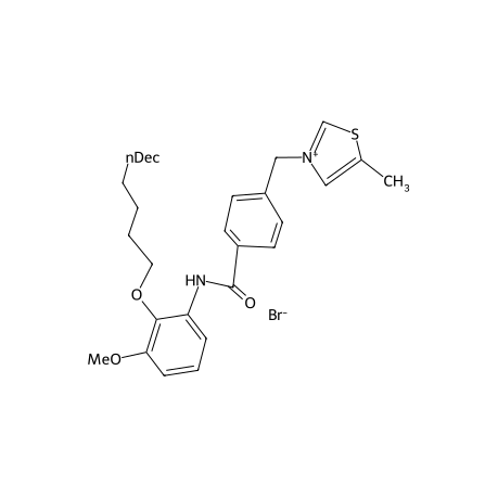 CCCCCCCCCCCCCCOc1c(NC(=O)c2ccc(C[n+]3csc(C)c3)cc2)cccc1OC.[Br-]